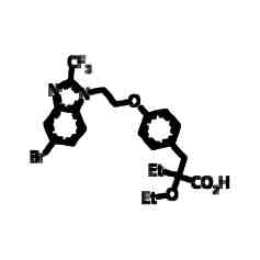 CCOC(CC)(Cc1ccc(OCCn2c(C(F)(F)F)nc3cc(Br)ccc32)cc1)C(=O)O